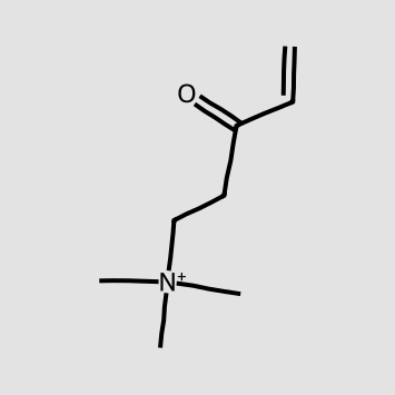 C=CC(=O)CC[N+](C)(C)C